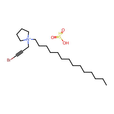 CCCCCCCCCCCCCC[N+]1(CC#CBr)CCCC1.O=[SH](=O)O